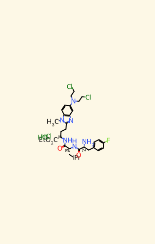 CCOC(=O)[C@H](CCc1nc2cc(N(CCCl)CCCl)ccc2n1C)NC(=O)[C@@H](CC(C)C)NC(=O)[C@@H](N)Cc1ccc(F)cc1.Cl.Cl